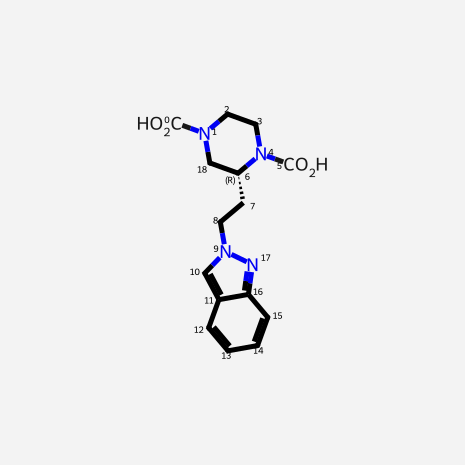 O=C(O)N1CCN(C(=O)O)[C@H](CCn2cc3ccccc3n2)C1